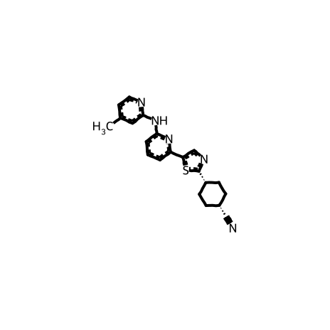 Cc1ccnc(Nc2cccc(-c3cnc([C@H]4CC[C@@H](C#N)CC4)s3)n2)c1